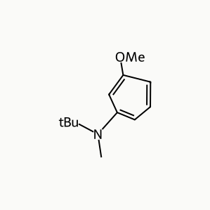 COc1cccc(N(C)C(C)(C)C)c1